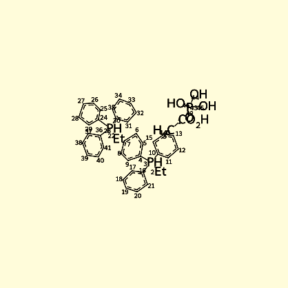 CC(=O)O.CC[PH](c1ccccc1)(c1ccccc1)c1ccccc1.CC[PH](c1ccccc1)(c1ccccc1)c1ccccc1.O=P(O)(O)O